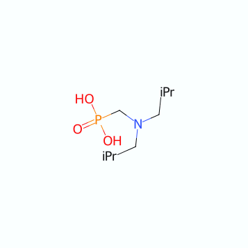 CC(C)CN(CC(C)C)CP(=O)(O)O